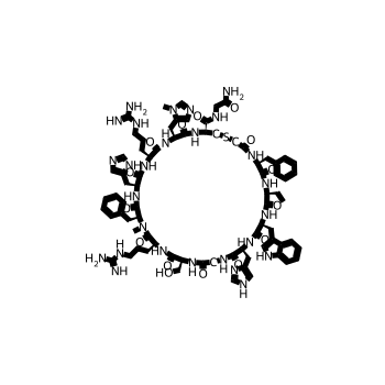 CC[C@@H]1NC(=O)[C@H](Cc2ccccc2)NC(=O)CSC[C@@H](C(=O)NCC(N)=O)NC(=O)[C@H](Cc2cncn2C)NC(=O)[C@H](CCCNC(=N)N)NC(=O)[C@H](Cc2cnc[nH]2)NC(=O)[C@H](Cc2ccccc2)N(C)C(=O)[C@H](CCCNC(=N)N)NC(=O)[C@H](CO)NC(=O)CNC(=O)[C@H](Cc2c[nH]cn2)NC(=O)[C@H](Cc2c[nH]c3ccccc23)NC1=O